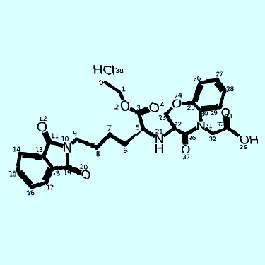 CCOC(=O)[C@H](CCCCN1C(=O)c2ccccc2C1=O)NC1COc2ccccc2N(CC(=O)O)C1=O.Cl